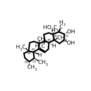 C[C@H]1[C@H](C)CC[C@]2(C)CC[C@]3(C)C(=CC[C@@H]4[C@@]5(C)C[C@@H](O)[C@@H](O)[C@@](C)(C(=O)O)[C@@H]5CC[C@]43C)[C@H]12